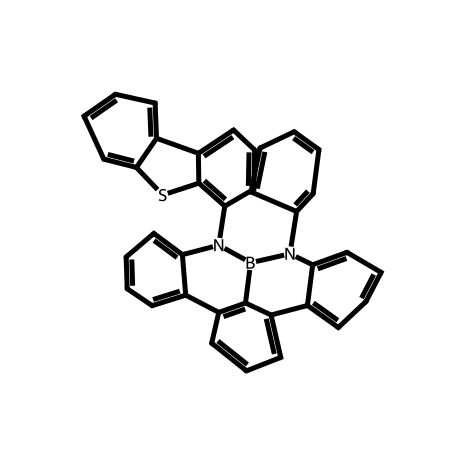 c1ccc(N2B3c4c(cccc4-c4ccccc4N3c3cccc4c3sc3ccccc34)-c3ccccc32)cc1